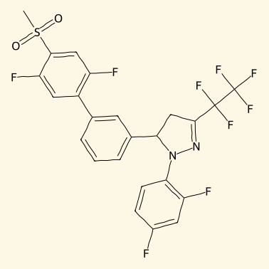 CS(=O)(=O)c1cc(F)c(-c2cccc(C3CC(C(F)(F)C(F)(F)F)=NN3c3ccc(F)cc3F)c2)cc1F